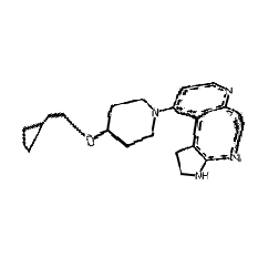 c1cc(N2CCC(OCC3CC3)CC2)c2c3c(ncc2n1)NCC3